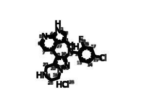 Cc1c[nH]c2nccc(-c3c(Nc4ccc(Cl)cc4F)nn4c3CNCC4)c12.Cl